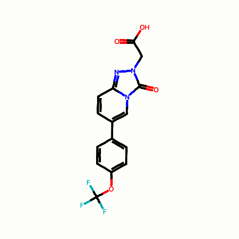 O=C(O)Cn1nc2ccc(-c3ccc(OC(F)(F)F)cc3)cn2c1=O